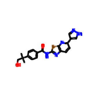 CC(C)(CO)c1ccc(C(=O)Nc2nc3ccc(-c4cn[nH]c4)nc3s2)cc1